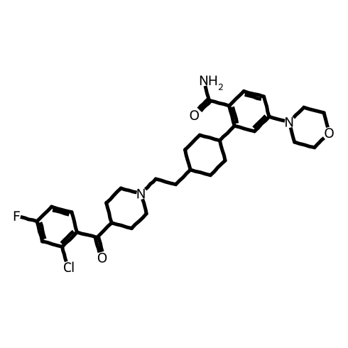 NC(=O)c1ccc(N2CCOCC2)cc1C1CCC(CCN2CCC(C(=O)c3ccc(F)cc3Cl)CC2)CC1